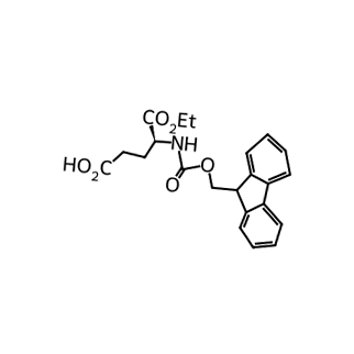 CCOC(=O)[C@H](CCC(=O)O)NC(=O)OCC1c2ccccc2-c2ccccc21